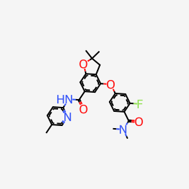 Cc1ccc(NC(=O)c2cc(Oc3ccc(C(=O)N(C)C)c(F)c3)c3c(c2)OC(C)(C)C3)nc1